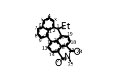 CCC1c2cccc3cccc(c23)-c2ccc3c4c(ccc1c24)C(=O)N(C)C3=O